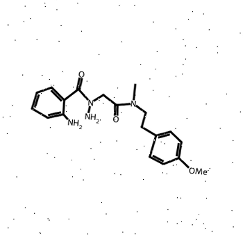 COc1ccc(CCN(C)C(=O)CN(N)C(=O)c2ccccc2N)cc1